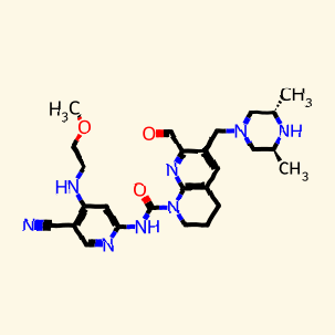 COCCNc1cc(NC(=O)N2CCCc3cc(CN4C[C@H](C)N[C@@H](C)C4)c(C=O)nc32)ncc1C#N